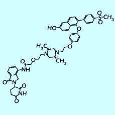 C[C@H]1CN(CCOc2ccc(Oc3c(-c4ccc(S(C)(=O)=O)cc4)ccc4cc(O)ccc34)cc2)[C@@H](C)CN1CCOCC(=O)Nc1cccc2c1CN(C1CCC(=O)NC1=O)C2=O